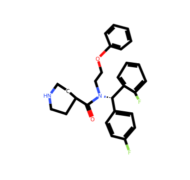 O=C(C1CCNCC1)N(CCOc1ccccc1)[C@@H](c1ccc(F)cc1)c1ccccc1F